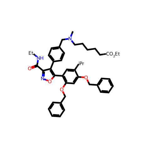 CCNC(=O)c1noc(-c2cc(C(C)C)c(OCc3ccccc3)cc2OCc2ccccc2)c1-c1ccc(CN(C)CCCCCC(=O)OCC)cc1